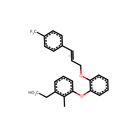 Cc1c(CC(=O)O)cccc1Oc1ccccc1OC/C=C/c1ccc(C(F)(F)F)cc1